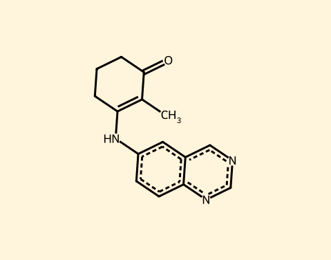 CC1=C(Nc2ccc3ncncc3c2)CCCC1=O